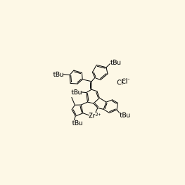 CC1=C(c2c(C(C)(C)C)c(=C(c3ccc(C(C)(C)C)cc3)c3ccc(C(C)(C)C)cc3)cc3c2=[C]([Zr+2])c2cc(C(C)(C)C)ccc2-3)C(C)C=C1C(C)(C)C.[Cl-].[Cl-]